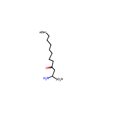 CCCCCCCCCCCCCCCCCC(=O)CC(N)S(=O)(=O)O